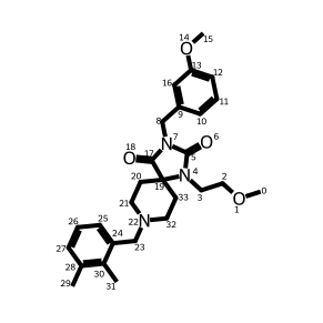 COCCN1C(=O)N(Cc2cccc(OC)c2)C(=O)C12CCN(Cc1cccc(C)c1C)CC2